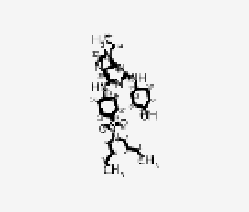 CCCCN(CCCC)S(=O)(=O)c1ccc(Nc2nc(NC3CCC(O)CC3)nc3c2ncn3CC)cc1